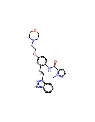 Cn1cccc1C(=O)Nc1ccc(OCCN2CCOCC2)cc1/C=C/c1n[nH]c2ccccc12